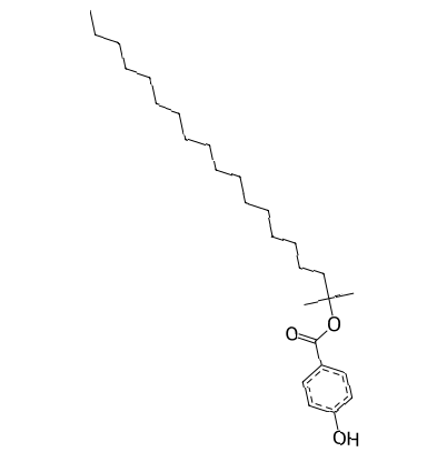 CCCCCCCCCCCCCCCCCC(C)(C)OC(=O)c1ccc(O)cc1